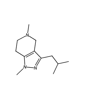 CC(C)Cc1nn(C)c2c1CN(C)CC2